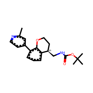 Cc1cc(-c2cccc3c2OCC[C@H]3CNC(=O)OC(C)(C)C)ccn1